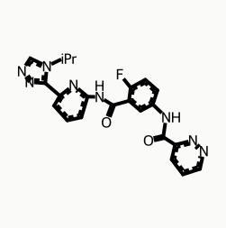 CC(C)n1cnnc1-c1cccc(NC(=O)c2cc(NC(=O)c3cccnn3)ccc2F)n1